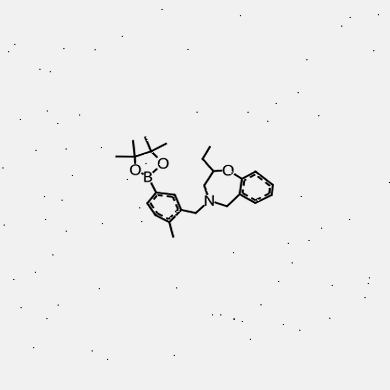 CCC1CN(Cc2cc(B3OC(C)(C)C(C)(C)O3)ccc2C)Cc2ccccc2O1